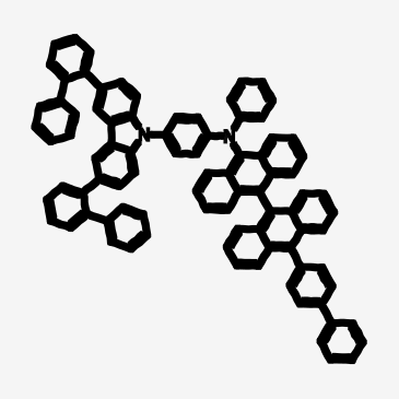 c1ccc(-c2ccc(-c3c4ccccc4c(-c4c5ccccc5c(N(c5ccccc5)c5ccc(-n6c7ccc(-c8ccccc8-c8ccccc8)cc7c7cc(-c8ccccc8-c8ccccc8)ccc76)cc5)c5ccccc45)c4ccccc34)cc2)cc1